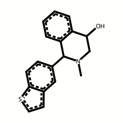 CN1CC(O)c2ccccc2C1c1ccc2sccc2c1